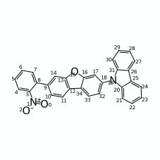 O=[N+]([O-])c1ccccc1-c1ccc2c(c1)oc1cc(-n3c4ccccc4c4ccccc43)ccc12